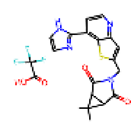 CC1(C)C2C(=O)N(Cc3cc4nccc(-c5ncc[nH]5)c4s3)C(=O)C21.O=C(O)C(F)(F)F